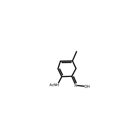 CC(=O)NC1=CC=C(C)CC1=NO